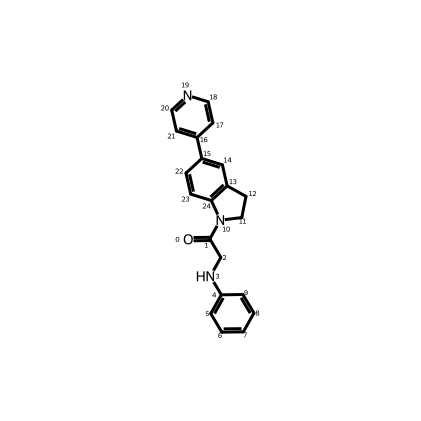 O=C(CNc1ccccc1)N1CCc2cc(-c3ccncc3)ccc21